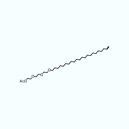 C=CCCCCCCCCCCCCCCCCCCCCOCCOCCOCCOC(C)=O